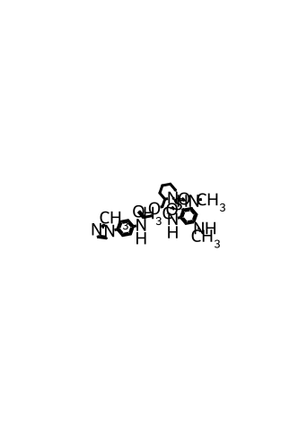 CNc1cc(NC)c(S(=O)(=O)N2CCCCC2COCC(=O)Nc2ccc(-n3ccnc3C)cc2)c(NC)c1